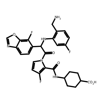 NCc1ccc(F)cc1NC(C(=O)n1ccc(F)c1C(=O)NC1CCC(C(=O)O)CC1)c1ccc2ncoc2c1F